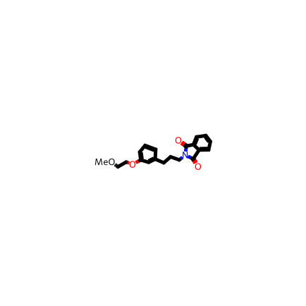 COCCOc1cccc(CCCN2C(=O)c3ccccc3C2=O)c1